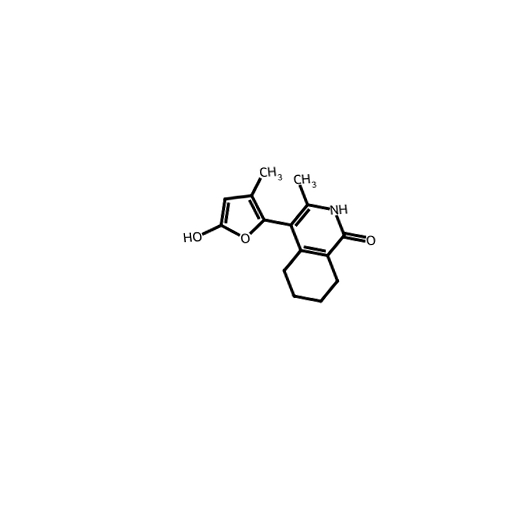 Cc1cc(O)oc1-c1c(C)[nH]c(=O)c2c1CCCC2